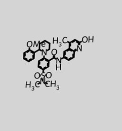 COc1ccccc1C1CCCCN1c1ccc(S(=O)(=O)N(C)C)cc1C(=O)Nc1ccc2nc(O)cc(C)c2c1